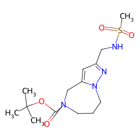 CC(C)(C)OC(=O)N1CCCn2nc(CNS(C)(=O)=O)cc2C1